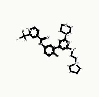 Cc1ccc(NC(=O)c2ccnc(C(F)(F)F)c2)cc1-c1cc(OCCN2CCCC2)nc(N2CCOCC2)c1